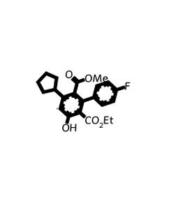 CCOC(=O)c1c(O)[c]c(C2CCCC2)c(C(=O)OC)c1-c1ccc(F)cc1